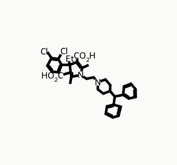 CCC1(c2cccc(Cl)c2Cl)C(C(=O)O)=C(C)N(CCN2CCC(C(c3ccccc3)c3ccccc3)CC2)C(C)=C1C(=O)O